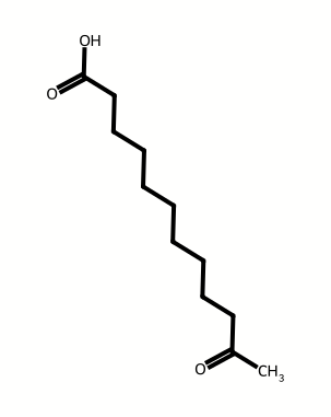 CC(=O)CCCCCCCCCC(=O)O